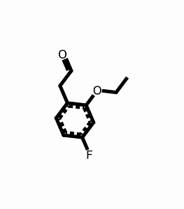 CCOc1cc(F)ccc1CC=O